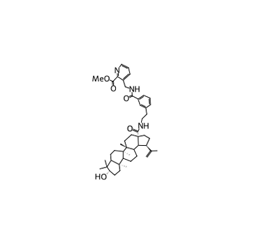 C=C(C)[C@@H]1CC[C@]2(C(=O)NCCc3cccc(C(=O)NCc4cccnc4C(=O)OC)c3)CC[C@]3(C)C(CCC4[C@@]5(C)CC[C@H](O)C(C)(C)C5CC[C@]43C)C12